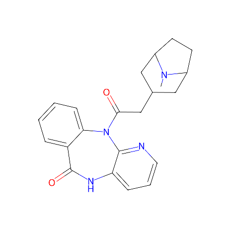 CN1C2CCC1CC(CC(=O)N1c3ccccc3C(=O)Nc3cccnc31)C2